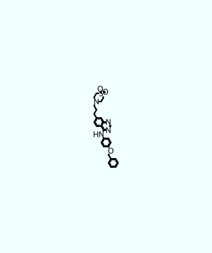 O=S1(=O)CCN(CCCc2ccc3c(Nc4ccc(OCc5ccccc5)cc4)ncnc3c2)CC1